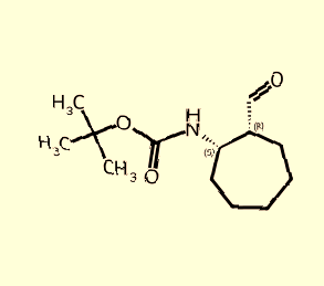 CC(C)(C)OC(=O)N[C@H]1CCCCC[C@H]1C=O